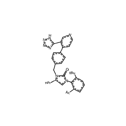 CCCc1cn(-c2c(C(C)=O)cccc2C(C)(C)C)c(=O)n1Cc1ccc(-c2ccncc2-c2nnn[nH]2)cc1